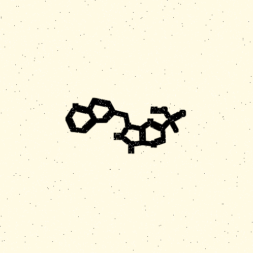 COP(C)(=O)c1cnc2c(n1)N(Cc1ccc3ncccc3c1)NN2